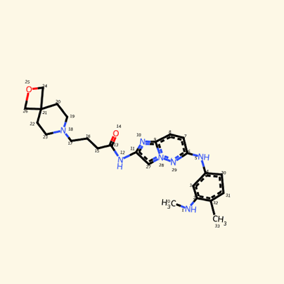 CNc1cc(Nc2ccc3nc(NC(=O)CCCN4CCC5(CC4)COC5)cn3n2)ccc1C